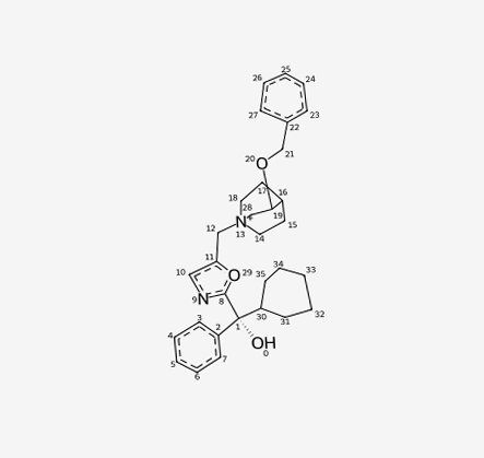 O[C@](c1ccccc1)(c1ncc(C[N+]23CCC(CC2)C(OCc2ccccc2)C3)o1)C1CCCCC1